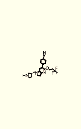 N#Cc1ccc(-c2cc3c(ccn3C[C@H]3CCNC3)nc2OCCC(F)(F)F)cc1